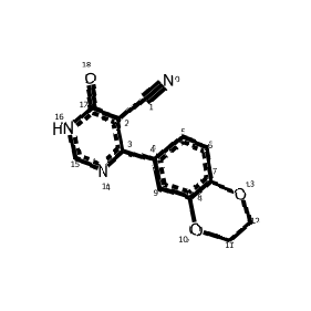 N#Cc1c(-c2ccc3c(c2)OCCO3)nc[nH]c1=O